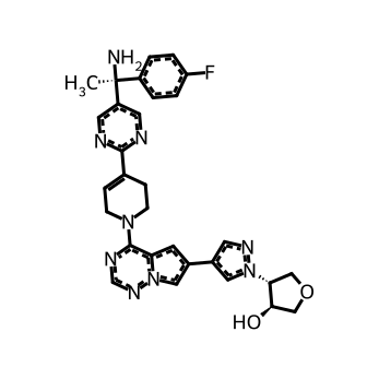 C[C@](N)(c1ccc(F)cc1)c1cnc(C2=CCN(c3ncnn4cc(-c5cnn([C@@H]6COC[C@H]6O)c5)cc34)CC2)nc1